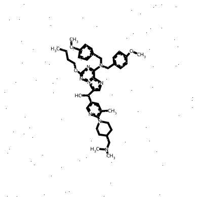 CCCCOc1nc(N(Cc2ccc(OC)cc2)Cc2ccc(OC)cc2)c2ncc(C(O)c3cnc(N4CCC(CN(C)C)CC4)c(C)c3)n2n1